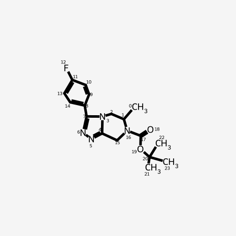 CC1Cn2c(nnc2-c2ccc(F)cc2)CN1C(=O)OC(C)(C)C